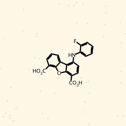 O=C(O)c1cccc2c1oc1c(C(=O)O)ccc(Nc3ccccc3F)c12